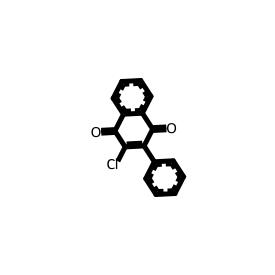 O=C1C(Cl)=C(c2ccccc2)C(=O)c2ccccc21